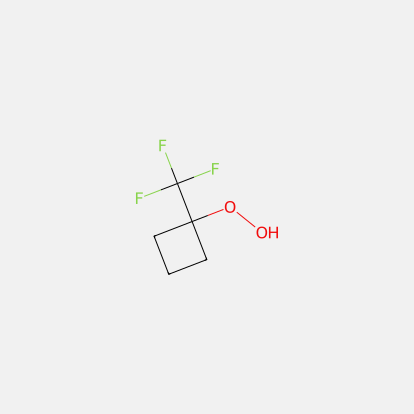 OOC1(C(F)(F)F)CCC1